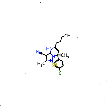 CCCCC1=CC(C)(c2ccc(Cl)cc2)N2C(N1)C(C#N)C(C)N2S